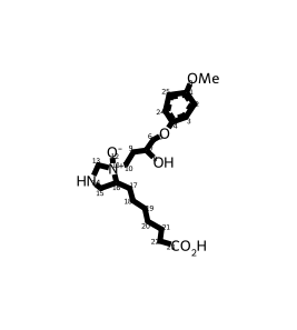 COc1ccc(OCC(O)CC[N+]2([O-])CNCC2CCCCCCC(=O)O)cc1